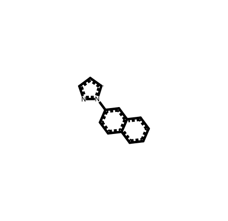 [c]1ccnn1-c1ccc2ccccc2c1